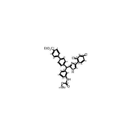 CCOC(=O)c1ccc(-c2ccc(C(c3cccc(NC(=O)OC(C)(C)C)c3)c3nc(-c4ccc(Cl)cc4Cl)c[nH]3)cc2)cc1